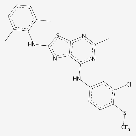 Cc1nc(Nc2ccc(SC(F)(F)F)c(Cl)c2)c2nc(Nc3c(C)cccc3C)sc2n1